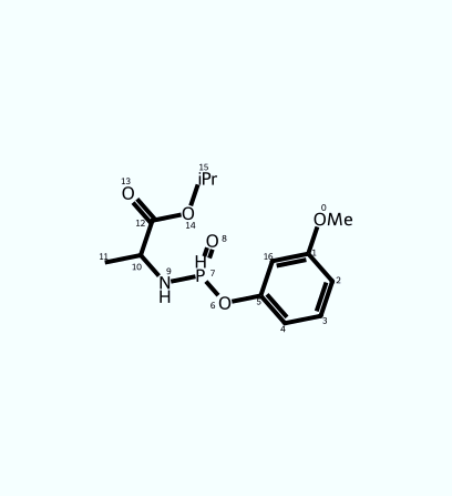 COc1cccc(O[PH](=O)NC(C)C(=O)OC(C)C)c1